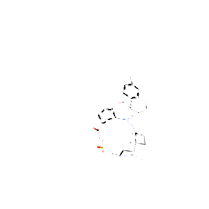 O=C1NS(=O)(=O)C/C=C/[C@H](O)[C@@H]2CC[C@H]2CN2C[C@@]3(CCCc4cc(Cl)ccc43)COc3ccc1cc32